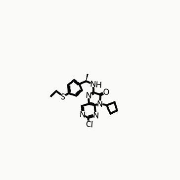 CCSc1ccc([C@@H](C)Nc2nc3cnc(Cl)nc3n(C3CCC3)c2=O)cc1